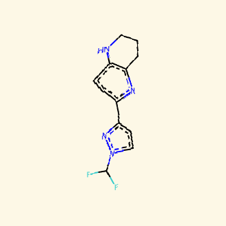 FC(F)n1ccc(-c2ccc3c(n2)CCCN3)n1